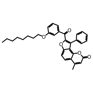 CCCCCCCCOc1cccc(C(=O)c2oc3ccc4c(C)cc(=O)oc4c3c2-c2ccccc2)c1